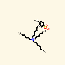 CCCCCC[N+](CCCCCC)(CCCCCC)CCCCCC.Cc1ccc(S(=O)(=O)O)cc1